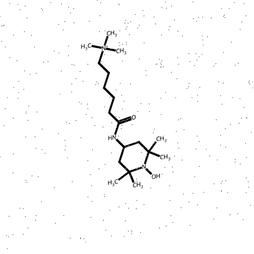 CC1(C)CC(NC(=O)CCCCC[N+](C)(C)C)CC(C)(C)N1O